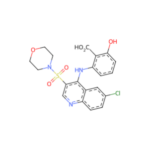 O=C(O)c1c(O)cccc1Nc1c(S(=O)(=O)N2CCOCC2)cnc2ccc(Cl)cc12